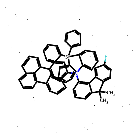 CC1(C)c2ccc(F)cc2-c2c(N(c3ccc(-c4cccc5cccc(-c6ccccc6)c45)cc3)c3ccccc3[Si](c3ccccc3)(c3ccccc3)c3ccccc3)cccc21